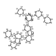 c1ccc(-c2cccc(-c3nc(-c4ccccc4)nc(-c4ccc5c(c4)oc4cccc(-c6ccc(-c7ccccc7)c7c6sc6ccccc67)c45)n3)c2)cc1